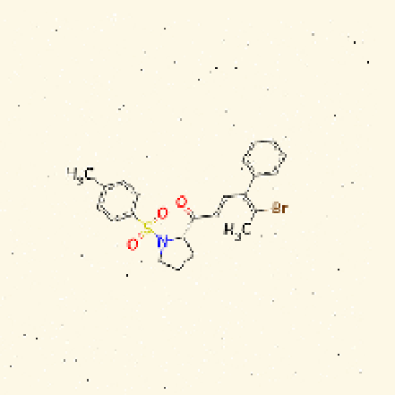 CC(Br)=C(C=CC(=O)[C@@H]1CCCN1S(=O)(=O)c1ccc(C)cc1)c1ccccc1